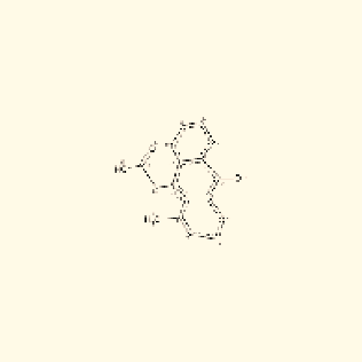 Cc1cccc2c(=O)c3ccccc3n(CC(=O)O)c12